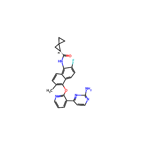 Cc1ccc2c(NC(=O)[C@@H]3CC34CC4)c(F)ccc2c1Oc1ncccc1-c1ccnc(N)n1